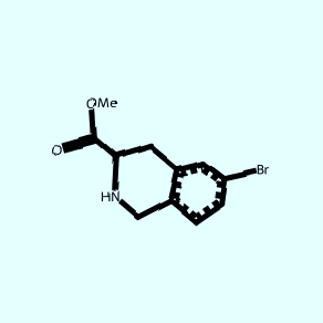 COC(=O)C1Cc2cc(Br)ccc2CN1